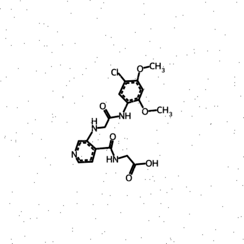 COc1cc(OC)c(NC(=O)CNc2cnccc2C(=O)NCC(=O)O)cc1Cl